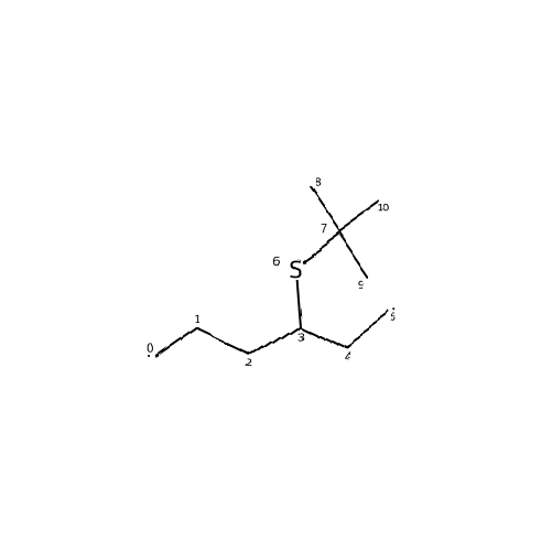 [CH2]CCC(C[CH2])SC(C)(C)C